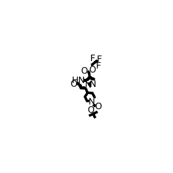 CC(C)(C)OC(=O)N1CCC(c2cc(=O)[nH]c3c(C(=O)OCC(F)(F)F)cnn23)CC1